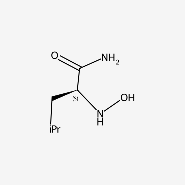 CC(C)C[C@H](NO)C(N)=O